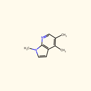 Cc1cnc2c(ccn2C)c1C